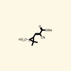 COC(=O)/C(C#N)=C/C1[C@@H](C(=O)O)C1(C)C